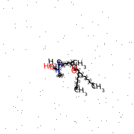 CCCCCCCCC(CCCCCCCC)CC(=O)OCC(CC)CCCCN(C)CCN(CCO)C1CCC1